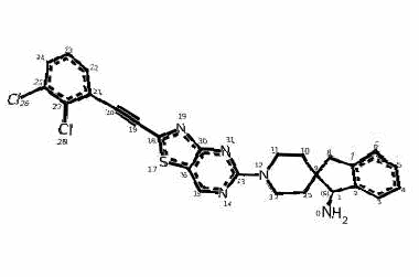 N[C@@H]1c2ccccc2CC12CCN(c1ncc3sc(C#Cc4cccc(Cl)c4Cl)nc3n1)CC2